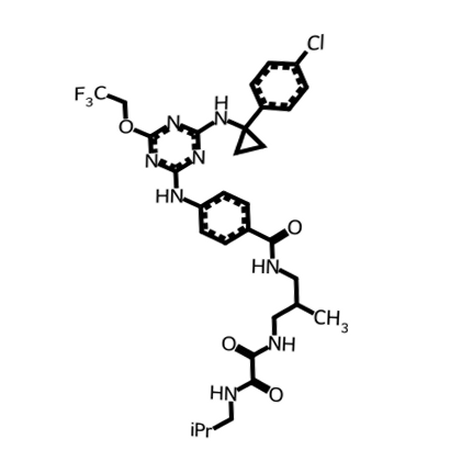 CC(C)CNC(=O)C(=O)NCC(C)CNC(=O)c1ccc(Nc2nc(NC3(c4ccc(Cl)cc4)CC3)nc(OCC(F)(F)F)n2)cc1